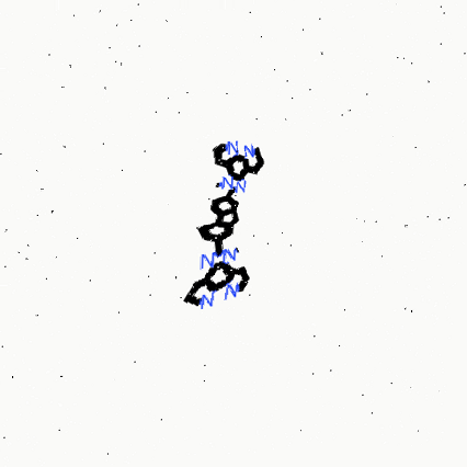 Cn1c(-c2ccc3c(c2)Cc2cc(-c4nc5c6cccnc6c6ncccc6c5n4C)ccc2-3)nc2c3cccnc3c3ncccc3c21